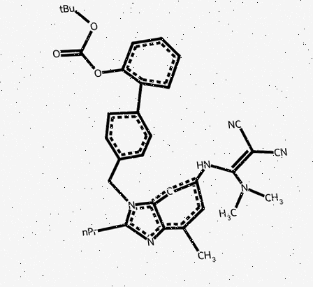 CCCc1nc2c(C)cc(NC(=C(C#N)C#N)N(C)C)cc2n1Cc1ccc(-c2ccccc2OC(=O)OC(C)(C)C)cc1